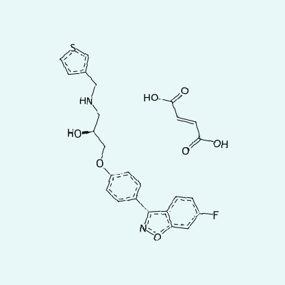 O=C(O)C=CC(=O)O.O[C@@H](CNCc1ccsc1)COc1ccc(-c2noc3cc(F)ccc23)cc1